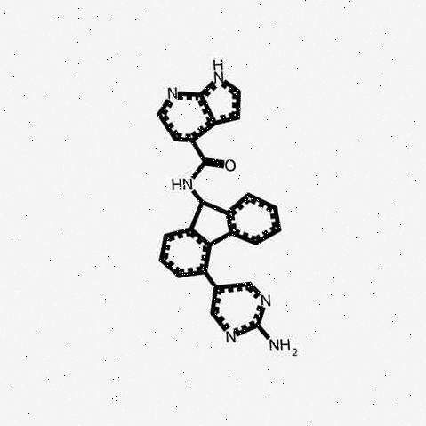 Nc1ncc(-c2cccc3c2-c2ccccc2C3NC(=O)c2ccnc3[nH]ccc23)cn1